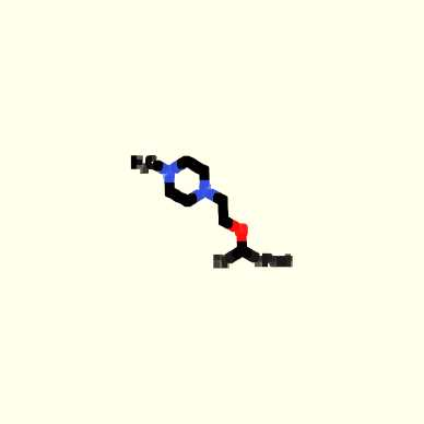 CCCCCC(CC)OCCN1CCN(C)CC1